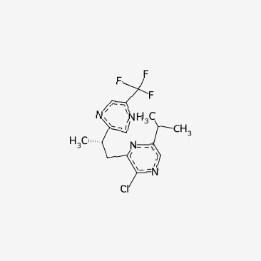 CC(C)c1cnc(Cl)c(C[C@H](C)c2cnc(C(F)(F)F)cn2)n1